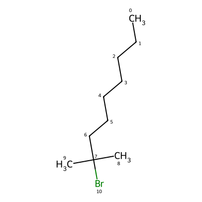 CCCCCCCC(C)(C)Br